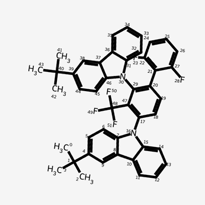 CC(C)(C)c1ccc2c(c1)c1ccccc1n2-c1ccc(-c2c(F)cccc2F)c(-n2c3ccccc3c3cc(C(C)(C)C)ccc32)c1C(F)(F)F